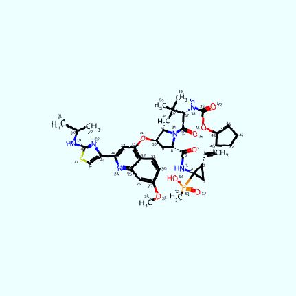 C=C[C@@H]1C[C@]1(NC(=O)[C@@H]1C[C@@H](Oc2cc(-c3csc(NC(C)C)n3)nc3cc(OC)ccc23)CN1C(=O)[C@@H](NC(=O)OC1CCCC1)C(C)(C)C)P(C)(=O)O